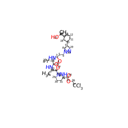 CC(C)[C@H](NC(=O)CCn1cc(-c2cccc([C@@H](C)O)c2)cn1)C(=O)N[C@@H](C)C(=O)N1CCC[C@@H](C(=O)OCC(Cl)(Cl)Cl)N1